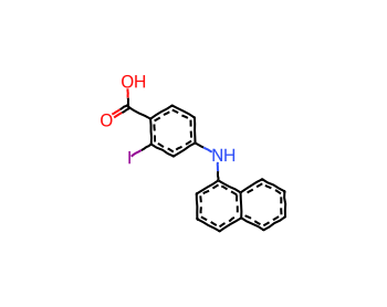 O=C(O)c1ccc(Nc2cccc3ccccc23)cc1I